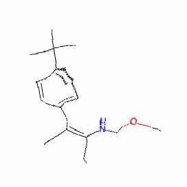 COCN/C(C)=C(/C)c1ccc(C(C)(C)C)cc1